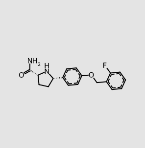 NC(=O)[C@H]1CC[C@@H](c2ccc(OCc3ccccc3F)cc2)N1